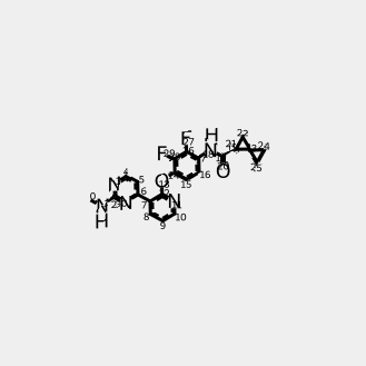 CNc1nccc(-c2cccnc2Oc2ccc(NC(=O)[C@H]3CC34CC4)c(F)c2F)n1